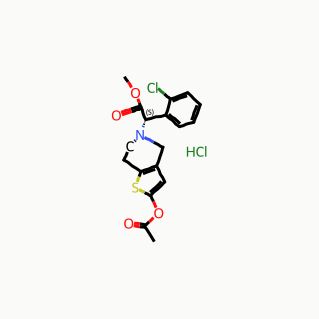 COC(=O)[C@H](c1ccccc1Cl)N1CCc2sc(OC(C)=O)cc2C1.Cl